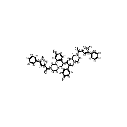 Cn1nc(C(=O)N2CCN(CC(C(=O)C(CN3CCN(C(=O)c4cc(-c5ccccc5)n(C)n4)CC3)c3ccc(F)cc3)c3ccc(F)cc3)CC2)cc1-c1ccccc1